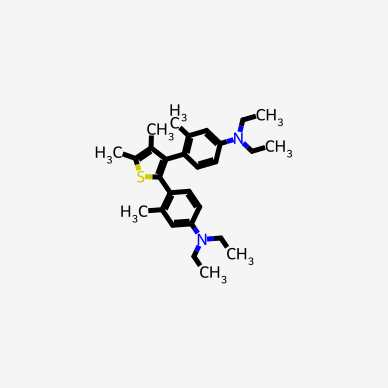 CCN(CC)c1ccc(-c2sc(C)c(C)c2-c2ccc(N(CC)CC)cc2C)c(C)c1